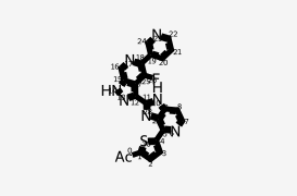 CC(=O)c1ccc(-c2nccc3[nH]c(-c4n[nH]c5cnc(-c6cccnc6)c(F)c45)nc23)s1